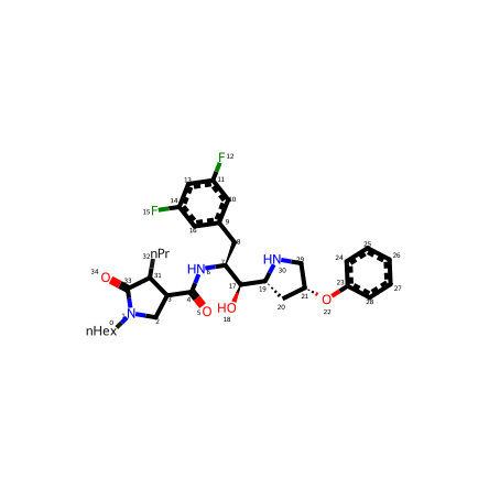 CCCCCCN1CC(C(=O)N[C@@H](Cc2cc(F)cc(F)c2)[C@H](O)[C@H]2C[C@@H](Oc3ccccc3)CN2)C(CCC)C1=O